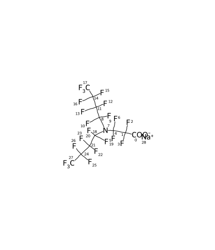 O=C([O-])C(F)(F)C(F)(F)N(C(F)(F)C(F)(F)C(F)(F)C(F)(F)F)C(F)(F)C(F)(F)C(F)(F)C(F)(F)F.[Na+]